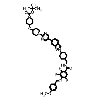 COc1ccc(COc2c(F)cc(C(=O)NCC3CCC(n4cc5ccc(-c6cnc(N7CCC(OC8CCN(C(=O)OC(C)(C)C)CC8)CC7)nc6)cc5n4)CC3)c(F)c2F)cc1